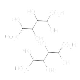 O=C(O)C(O)C(O)C(O)C(O)C(=O)O.O=C(O)C(O)C(O)C(O)C(O)C(=O)O